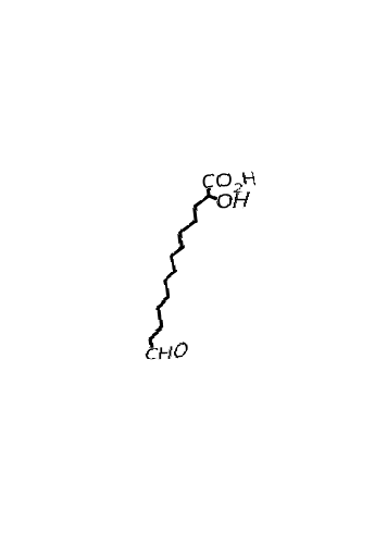 O=CCCCCCCCCCCCC(O)C(=O)O